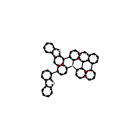 c1ccc(-c2cccc3cccc(-c4ccccc4N(c4ccc(-c5cccc6c5sc5ccccc56)cc4)c4ccccc4-c4cccc5c4sc4ccccc45)c23)cc1